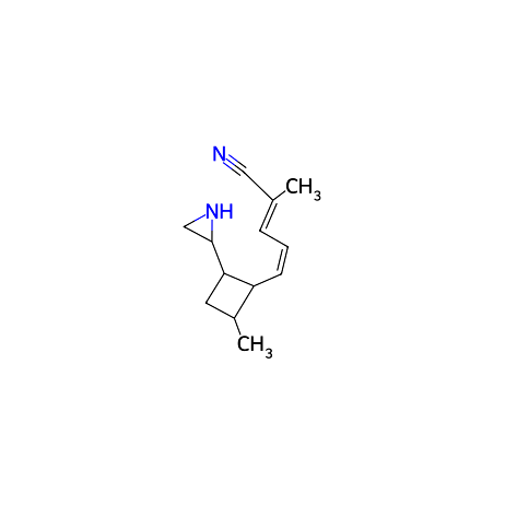 C/C(C#N)=C\C=C/C1C(C)CC1C1CN1